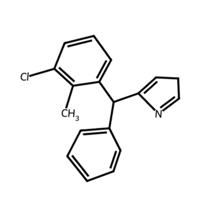 Cc1c(Cl)cccc1C(C1=CCC=N1)c1ccccc1